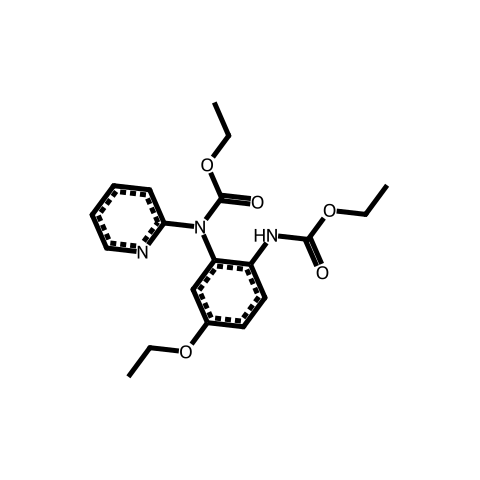 CCOC(=O)Nc1ccc(OCC)cc1N(C(=O)OCC)c1ccccn1